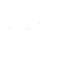 CCCCCCCCCCCC(=O)NC(=S)Nc1ccc(Cl)cc1CN